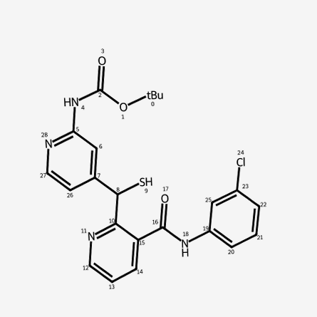 CC(C)(C)OC(=O)Nc1cc(C(S)c2ncccc2C(=O)Nc2cccc(Cl)c2)ccn1